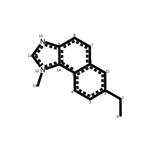 CCc1ccc2c(ccc3ncn(C)c32)c1